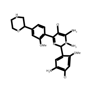 COc1cc(C2CNCCO2)ccc1C1=NC(c2cc(N)c(Cl)cc2OC)N(N)C(N)=C1Cl